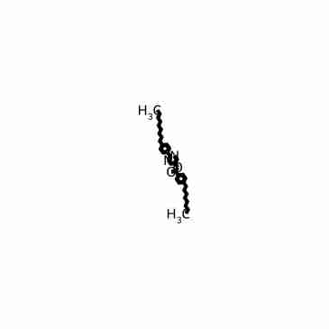 CCCCCCCCCc1ccc(-c2ncc(OC(=O)c3ccc(CCCCCCCC)cc3)cn2)cc1